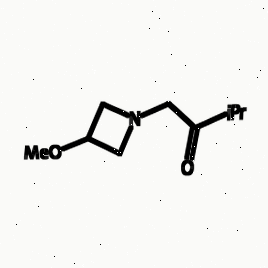 COC1CN(CC(=O)C(C)C)C1